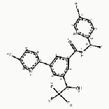 C[C@@H](NC(=O)c1cc(-c2ccc(F)cn2)cc(C(O)C(F)(F)F)c1)c1ccc(F)cn1